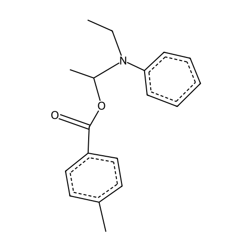 CCN(c1ccccc1)C(C)OC(=O)c1ccc(C)cc1